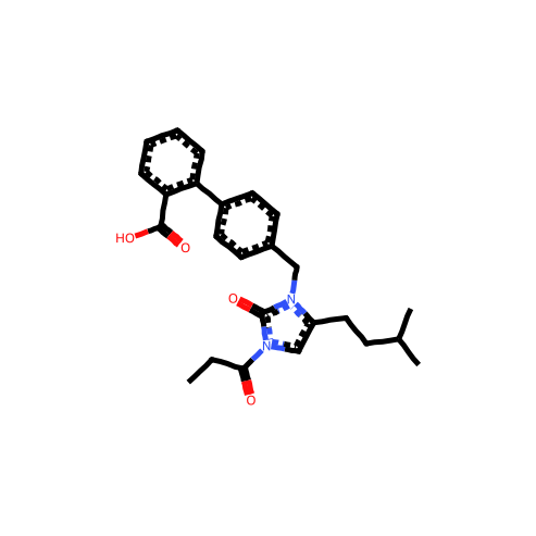 CCC(=O)n1cc(CCC(C)C)n(Cc2ccc(-c3ccccc3C(=O)O)cc2)c1=O